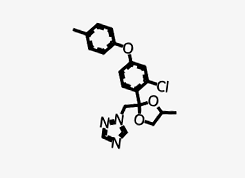 Cc1ccc(Oc2ccc(C3(Cn4cncn4)OCC(C)O3)c(Cl)c2)cc1